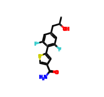 CC(O)Cc1cc(F)c(-c2cc(C(N)=O)cs2)c(F)c1